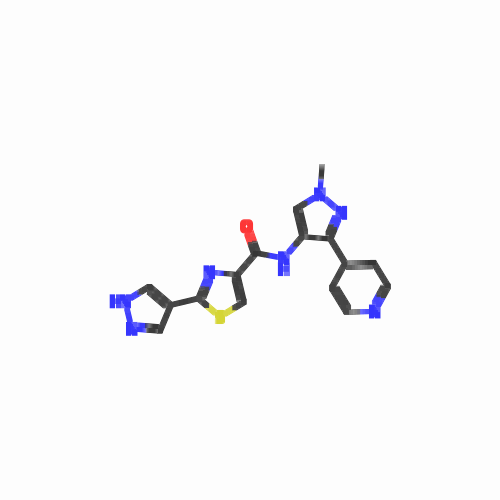 Cn1cc(NC(=O)c2csc(-c3cn[nH]c3)n2)c(-c2ccncc2)n1